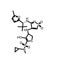 Cc1ccc([C@H](NC2=NS(=O)(=O)C=C2NC2CSC(S(=O)(=O)N(C)C3CC3)=C2O)C(C)(C)C)o1